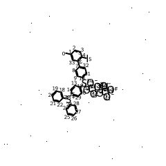 Cc1ccc(I)c(-c2ccc(Sc3ccc([S+](c4ccccc4)c4ccccc4)cc3)cc2)c1.[O-][Cl+3]([O-])([O-])O.[O-][Cl+3]([O-])([O-])[O-]